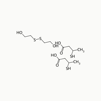 CC(S)CC(=O)O.CC(S)CC(=O)O.OCCSSCCO